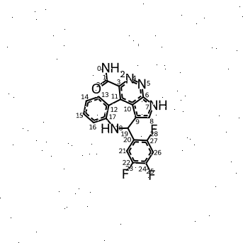 NC(=O)c1nnc2[nH]cc3c2c1-c1ccccc1NC3c1cc(F)c(F)cc1F